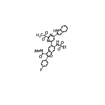 CCS(=O)(=O)Nc1cc2oc(-c3ccc(F)cc3)c(C(=O)NC)c2cc1-c1cc(-c2cc3ccccc3[nH]2)nc(S(C)(=O)=O)n1